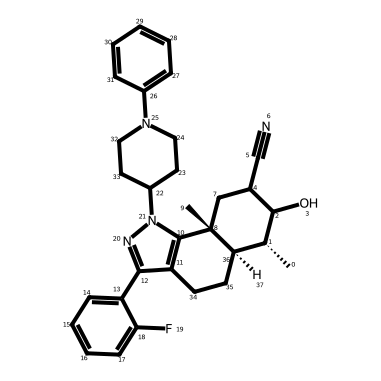 C[C@H]1C(O)C(C#N)C[C@@]2(C)c3c(c(-c4ccccc4F)nn3C3CCN(c4ccccc4)CC3)CC[C@H]12